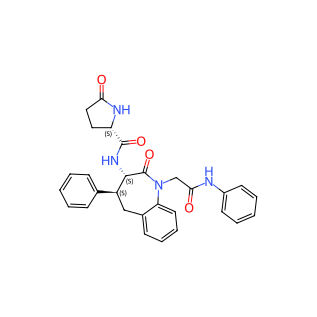 O=C(CN1C(=O)[C@@H](NC(=O)[C@@H]2CCC(=O)N2)[C@H](c2ccccc2)Cc2ccccc21)Nc1ccccc1